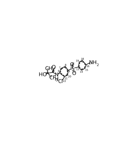 C[C@@](O)(C(=O)Nc1ccc(S(=O)(=O)c2ccc(N)cc2)cc1Cl)C(F)(F)F